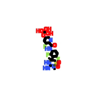 CN1C(=N)N[C@](C)(c2c(F)ccc(NC(=O)c3ncc(OC(O)(O)O)cc3F)c2F)CS1(=O)=O